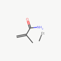 C=C(C)C(N)=O.CCC